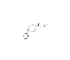 Cn1nccc1C1(O)CCN(C(=O)OC(C)(C)C)CC1